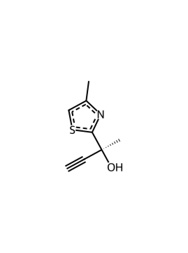 C#C[C@](C)(O)c1nc(C)cs1